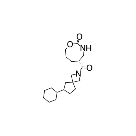 O=C1NC[C@H](C(=O)N2CC3(CCC(C4CCCCC4)C3)C2)CCCO1